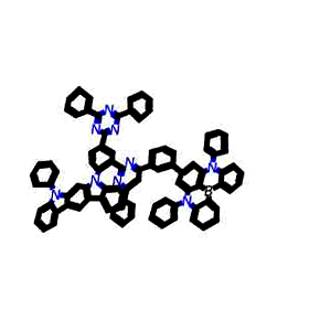 c1ccc(-c2cc(-c3cccc(-c4cc5c6c(c4)N(c4ccccc4)c4ccccc4B6c4ccccc4N5c4ccccc4)c3)nc(-c3cc(-c4nc(-c5ccccc5)nc(-c5ccccc5)n4)ccc3-n3c4ccccc4c4cc5c6ccccc6n(-c6ccccc6)c5cc43)n2)cc1